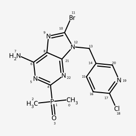 CP(C)(=O)c1nc(N)c2nc(Br)n(Cc3ccc(Cl)nc3)c2n1